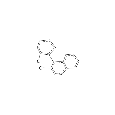 Clc1[c]cccc1-c1c(Cl)ccc2ccccc12